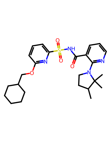 CC1CCN(c2ncccc2C(=O)NS(=O)(=O)c2cccc(OCC3CCCCC3)n2)C1(C)C